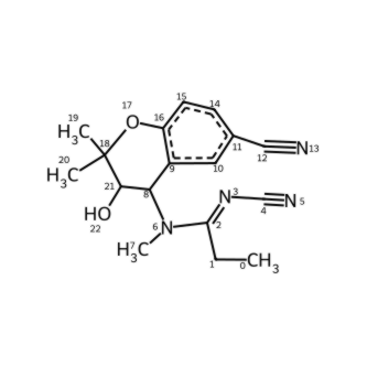 CCC(=NC#N)N(C)C1c2cc(C#N)ccc2OC(C)(C)C1O